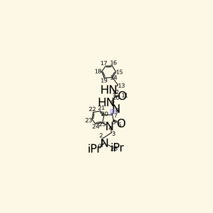 CC(C)N(CCN1C(=O)/C(=N/NC(=O)NCc2ccccc2)c2ccccc21)C(C)C